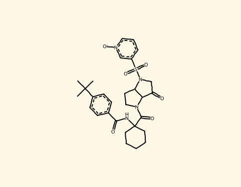 CC(C)(C)c1ccc(C(=O)NC2(C(=O)N3CCC4C3C(=O)CN4S(=O)(=O)c3ccc[n+]([O-])c3)CCCCC2)cc1